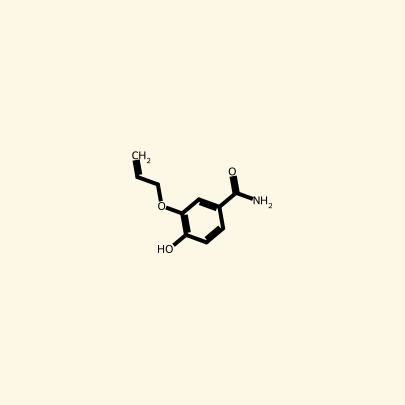 C=CCOc1cc(C(N)=O)ccc1O